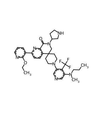 CCCN(C)c1cncc(N2CCC3(CC2)CN(C2CCNC2)C(=O)c2nc(-c4cccnc4OCC)ccc23)c1C(F)(F)F